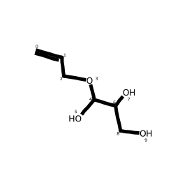 C=CCOC(O)C(O)CO